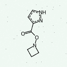 O=C(ON1CCC1)c1cc[nH]n1